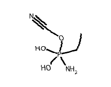 CCP(N)(O)(O)OC#N